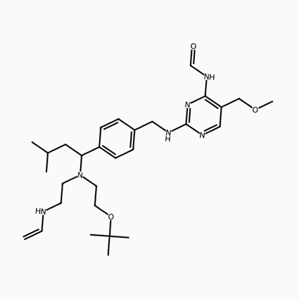 C=CNCCN(CCOC(C)(C)C)C(CC(C)C)c1ccc(CNc2ncc(COC)c(NC=O)n2)cc1